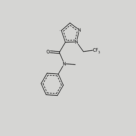 CN(C(=O)c1[c]cnn1CC(F)(F)F)c1ccccc1